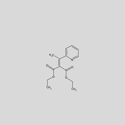 CCOC(=O)C(C(=O)OCC)=C(C)c1ccccn1